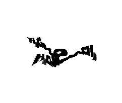 CCCCCCN(CC)C(=O)CCCCC